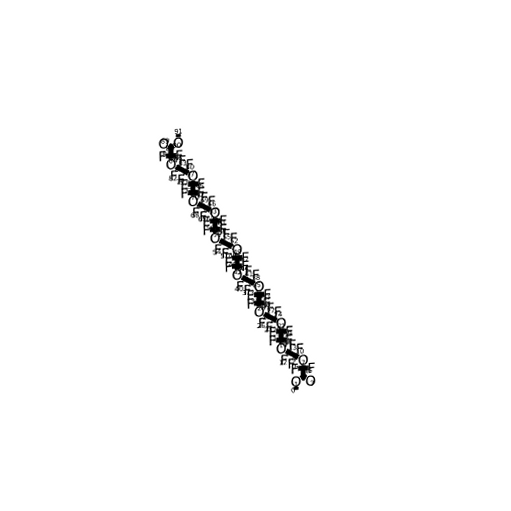 COC(=O)C(F)(F)OC(F)(F)C(F)(F)OC(F)(F)C(F)(F)OC(F)(F)C(F)(F)OC(F)(F)C(F)(F)OC(F)(F)C(F)(F)OC(F)(F)C(F)(F)OC(F)(F)C(F)(F)OC(F)(F)C(F)(F)OC(F)(F)C(F)(F)OC(F)(F)C(F)(F)OC(F)(F)C(F)(F)OC(F)(F)C(=O)OC